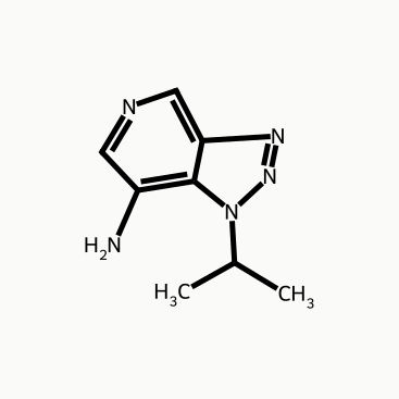 CC(C)n1nnc2cncc(N)c21